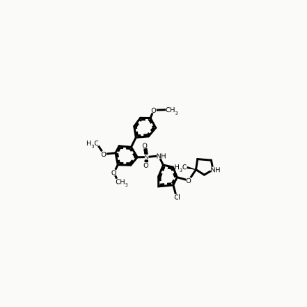 COc1ccc(-c2cc(OC)c(OC)cc2S(=O)(=O)Nc2ccc(Cl)c(O[C@]3(C)CCNC3)c2)cc1